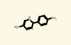 CC1=CNC(c2ccc(C)cc2)C=C1